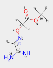 C/C(=N\OC(C)(C)C(=O)OC(C)(C)C)C(=N)N